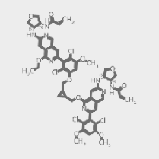 C=CC(=O)N[C@H]1COC[C@H]1Nc1cc2c(OCC3CC3COc3cc(OC)c(Cl)c(-c4cc5cnc(N[C@@H]6COC[C@@H]6NC(=O)C=C)cc5c(OCC)n4)c3Cl)nc(-c3c(Cl)c(OC)cc(OC)c3Cl)cc2cn1